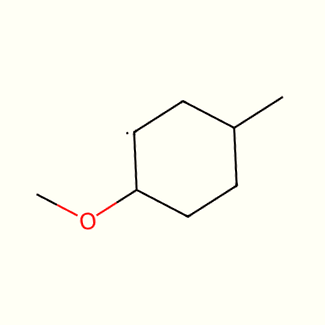 COC1[CH]CC(C)CC1